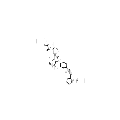 COc1ccccc1C(=O)NCc1ccc(-c2nn([C@@H]3CCCN(C(=O)C(O)CO)C3)c3ncnc(N)c23)cc1